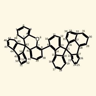 C1=CCC2C(=C1)Oc1c(-c3cccc4c3-c3ccccc3C43c4ccccc4-c4cccc5cccc3c45)cccc1C21C2=C(C=CCC2)c2ccccc21